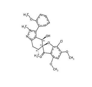 COc1ccccc1-c1c2c(nn1C)C[C@@H](C)[C@]1(Oc3c(Cl)c(OC)cc(OC)c3C1=O)[C@@H]2O